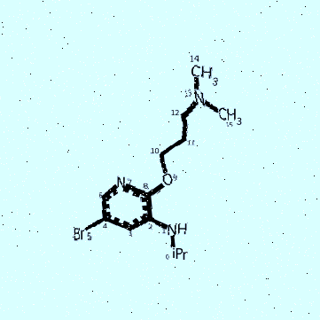 CC(C)Nc1cc(Br)cnc1OCCCN(C)C